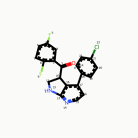 O=C(c1cc(F)ccc1F)C1CNc2nccc(-c3ccc(Cl)cc3)c21